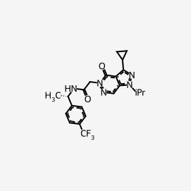 CC(C)n1nc(C2CC2)c2c(=O)n(CC(=O)N[C@@H](C)c3ccc(C(F)(F)F)cc3)ncc21